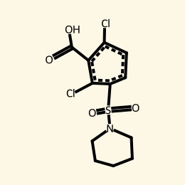 O=C(O)c1c(Cl)ccc(S(=O)(=O)N2CCCCC2)c1Cl